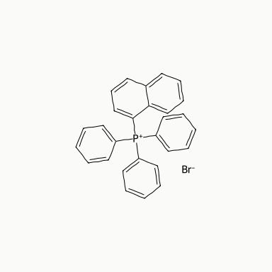 [Br-].c1ccc([P+](c2ccccc2)(c2ccccc2)c2cccc3ccccc23)cc1